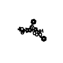 CC(C)(C)OC(=O)N1CC2CC(N3CCC(NC(=O)OCc4ccccc4)C3=O)C(CSc3ccccc3)C2C1